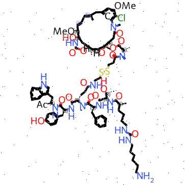 COc1cc2cc(c1Cl)N(C)C(=O)C[C@H](OC(=O)[C@H](C)N(C)C(=O)CCSSCCNC(=O)CC[C@@H](C(=O)N[C@@H](Cc1ccc(O)cc1)C(=O)N[C@H](Cc1c[nH]c3ccccc13)C(C)=O)N(C)C(=O)[C@H](Cc1ccccc1)NC(=O)[C@@H](NC(=O)[C@@H](C)CCCCNC(=O)NCCCCCCN)[C@@H](C)O)[C@]1(C)O[C@H]1[C@H](C)[C@@H]1C[C@@](O)(NC(=O)O1)[C@H](OC)/C=C/C=C(\C)C2